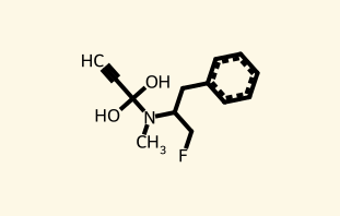 C#CC(O)(O)N(C)C(CF)Cc1ccccc1